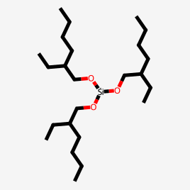 CCCCC(CC)CO[Si](OCC(CC)CCCC)OCC(CC)CCCC